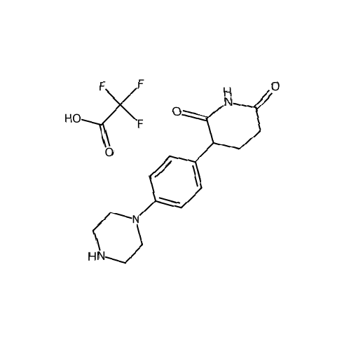 O=C(O)C(F)(F)F.O=C1CCC(c2ccc(N3CCNCC3)cc2)C(=O)N1